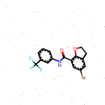 O=C(Nc1cccc(C(F)(F)F)c1)c1cc(Br)cc2c1OCC2